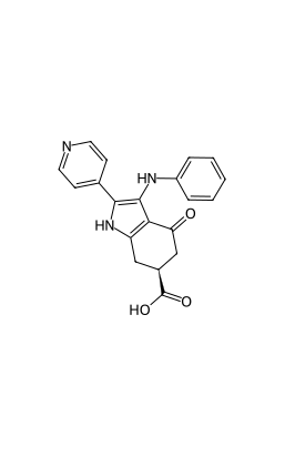 O=C1C[C@@H](C(=O)O)Cc2[nH]c(-c3ccncc3)c(Nc3ccccc3)c21